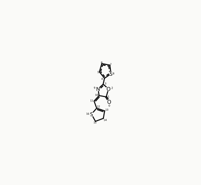 O=C1OC(c2cccs2)=N/C1=C/C1=CCCS1